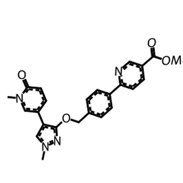 COC(=O)c1ccc(-c2ccc(COc3nn(C)cc3-c3ccc(=O)n(C)c3)cc2)nc1